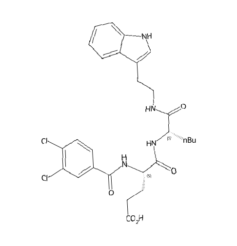 CCCC[C@H](NC(=O)[C@H](CCC(=O)O)NC(=O)c1ccc(Cl)c(Cl)c1)C(=O)NCCc1c[nH]c2ccccc12